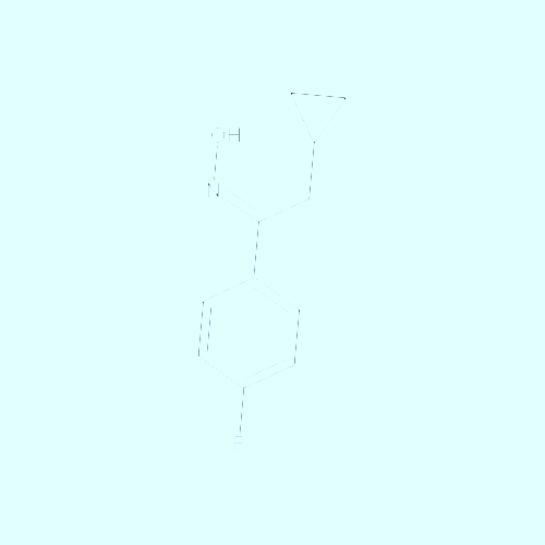 ON=C(CC1CC1)c1ccc(F)cc1